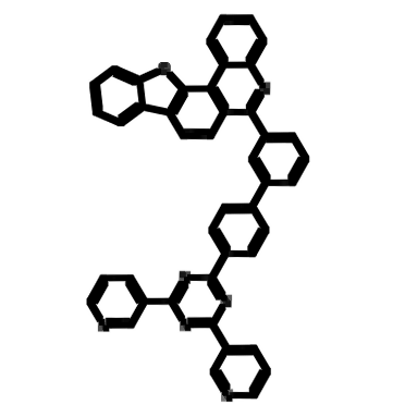 c1cncc(-c2nc(-c3ccc(-c4cccc(-c5nc6ccccc6c6c5ccc5c7ccccc7oc56)c4)cc3)nc(-c3cccnc3)n2)c1